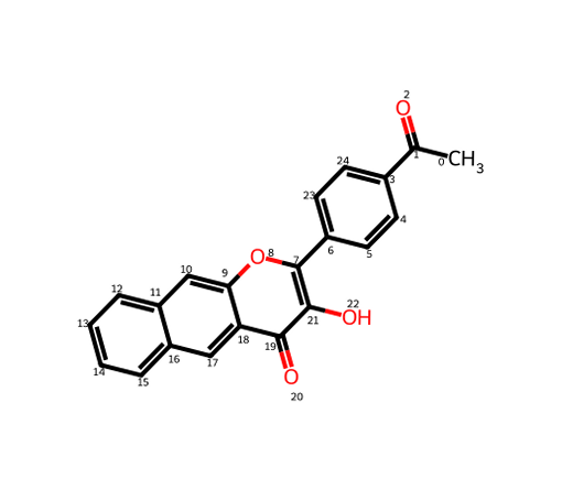 CC(=O)c1ccc(-c2oc3cc4ccccc4cc3c(=O)c2O)cc1